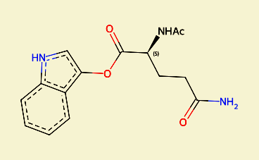 CC(=O)N[C@@H](CCC(N)=O)C(=O)Oc1c[nH]c2ccccc12